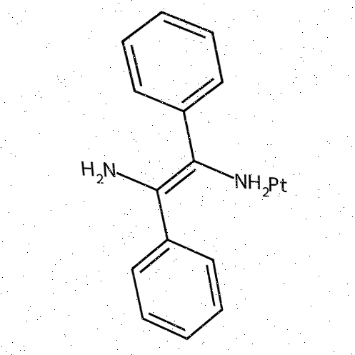 NC(=C(N)c1ccccc1)c1ccccc1.[Pt]